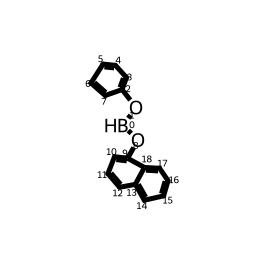 B(Oc1ccccc1)Oc1cccc2ccccc12